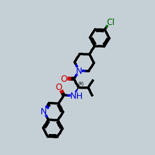 CC(C)[C@@H](NC(=O)c1cnc2ccccc2c1)C(=O)N1CCC(c2ccc(Cl)cc2)CC1